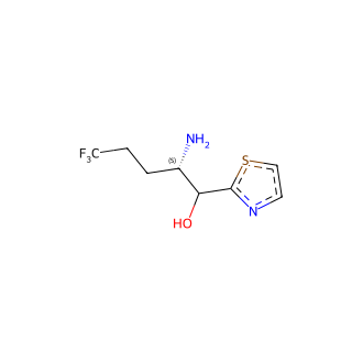 N[C@@H](CCC(F)(F)F)C(O)c1nccs1